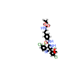 CC(C)(C)C[C@@H]1N[C@@H](C(=O)Nc2ccc(CCNC(=O)OC(C)(C)C)cc2)[C@H](c2cccc(Cl)c2F)[C@@]1(C#N)c1ccc(Cl)cc1F